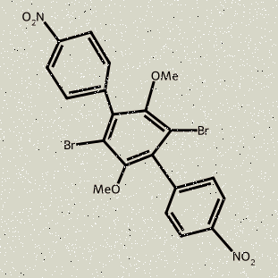 COc1c(Br)c(-c2ccc([N+](=O)[O-])cc2)c(OC)c(Br)c1-c1ccc([N+](=O)[O-])cc1